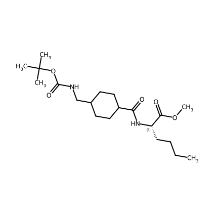 CCCC[C@H](NC(=O)C1CCC(CNC(=O)OC(C)(C)C)CC1)C(=O)OC